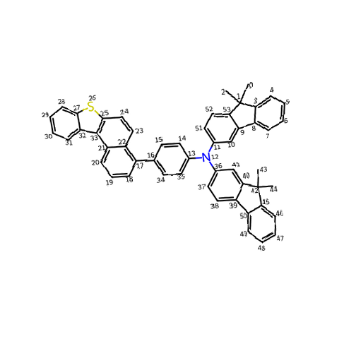 CC1(C)c2ccccc2-c2cc(N(c3ccc(-c4cccc5c4ccc4sc6ccccc6c45)cc3)c3ccc4c(c3)C(C)(C)c3ccccc3-4)ccc21